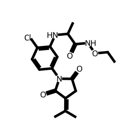 CCONC(=O)C(C)Nc1cc(N2C(=O)CC(=C(C)C)C2=O)ccc1Cl